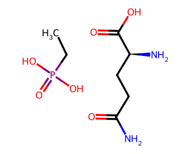 CCP(=O)(O)O.NC(=O)CC[C@H](N)C(=O)O